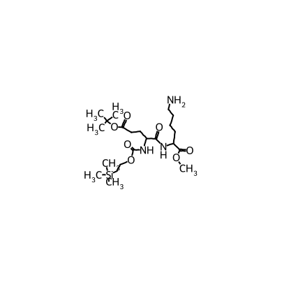 COC(=O)C(CCCCN)NC(=O)C(CCC(=O)OC(C)(C)C)NC(=O)OCC[Si](C)(C)C